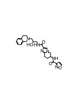 O=C(NCC(O)CN1CCc2ccccc2C1)c1cn2c(n1)CCC(NC(=O)c1ccon1)C2